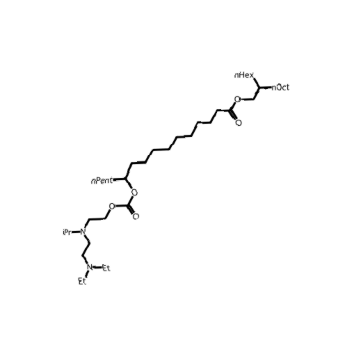 CCCCCCCCC(CCCCCC)COC(=O)CCCCCCCCCC(CCCCC)OC(=O)OCCN(CCN(CC)CC)C(C)C